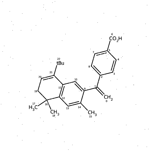 C=C(c1ccc(C(=O)O)cc1)c1cc2c(cc1C)C(C)(C)CC=C2C(C)(C)C